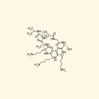 CC(=O)NCC(=O)N[C@H](CO)C(=O)N[C@@H](CCCCN)C(=O)N[C@H](CCCCN)C(=O)N[C@@H](CCCCN)C(=O)N[C@H](C)C(=O)N[C@@H](C)C(=O)NC(C)C